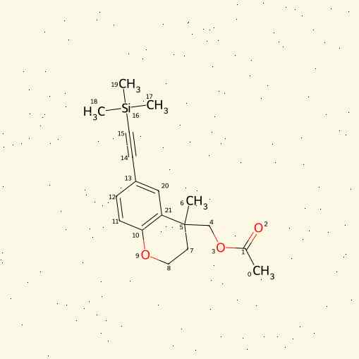 CC(=O)OCC1(C)CCOc2ccc(C#C[Si](C)(C)C)cc21